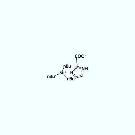 CCC[CH2][Sn+]([CH2]CCC)[CH2]CCC.O=C([O-])c1ncc[nH]1